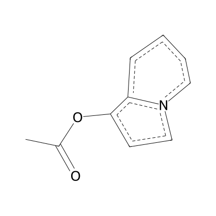 CC(=O)Oc1ccn2ccccc12